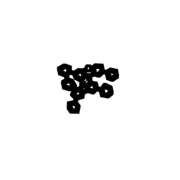 c1ccc(-c2ccc3c(c2)B2c4c(cc(-c5ccccc5-c5ccccc5)cc4-n4c5ccc(-c6ccccc6)cc5c5cc(-c6ccccc6)cc2c54)O3)cc1